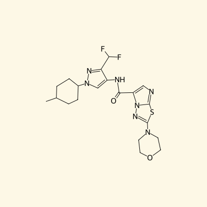 CC1CCC(n2cc(NC(=O)c3cnc4sc(N5CCOCC5)nn34)c(C(F)F)n2)CC1